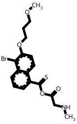 CNCC(=O)OC(=S)c1cccc2c(Br)c(OCCCOC)ccc12